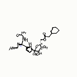 CCCC(=O)N/C(=N/C=N)c1ccc([C@]2(C#N)O[C@H](COC(=O)CC3CCCCC3)[C@@H](O)[C@H]2O)[nH]1